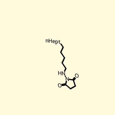 CCCCCCCCCCCCNN1C(=O)CCC1=O